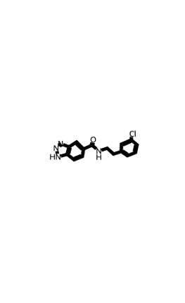 O=C(NCCc1cccc(Cl)c1)c1ccc2[nH]nnc2c1